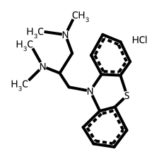 CN(C)CC(CN1c2ccccc2Sc2ccccc21)N(C)C.Cl